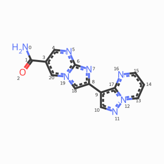 NC(=O)c1cnc2nc(-c3cnn4cccnc34)cn2c1